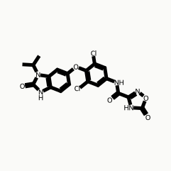 CC(C)n1c(=O)[nH]c2ccc(Oc3c(Cl)cc(NC(=O)c4noc(=O)[nH]4)cc3Cl)cc21